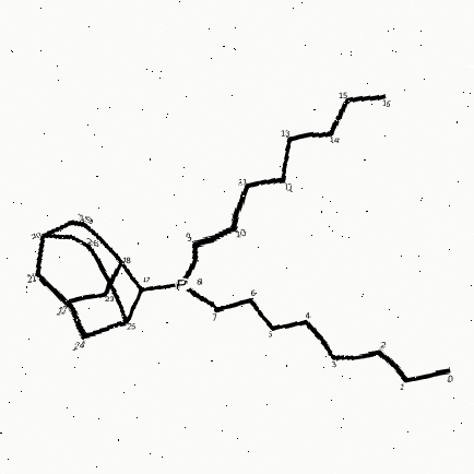 CCCCCCCCP(CCCCCCCC)C1C2CC3CC(C2)CC1C3